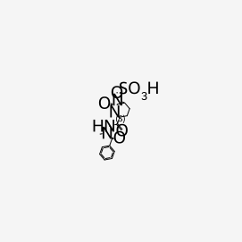 CN(NC(=O)[C@@H]1CCC2CN1C(=O)N2OS(=O)(=O)O)C(=O)c1ccccc1